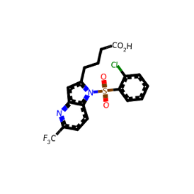 O=C(O)CCCc1cc2nc(C(F)(F)F)ccc2n1S(=O)(=O)c1ccccc1Cl